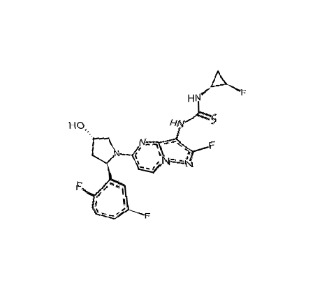 O[C@H]1C[C@H](c2cc(F)ccc2F)N(c2ccn3nc(F)c(NC(=S)N[C@H]4C[C@H]4F)c3n2)C1